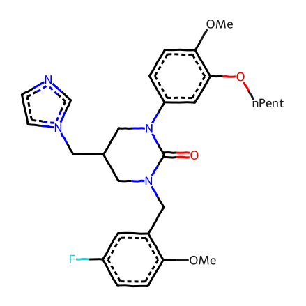 CCCCCOc1cc(N2CC(Cn3ccnc3)CN(Cc3cc(F)ccc3OC)C2=O)ccc1OC